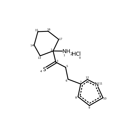 Cl.NC1(C(=S)CCc2cccnc2)CCCCC1